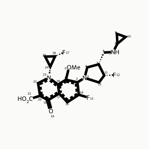 COc1c(N2C[C@H](CNC3CC3)[C@H](F)C2)c(F)cc2c(=O)c(C(=O)O)cn([C@@H]3C[C@@H]3F)c12